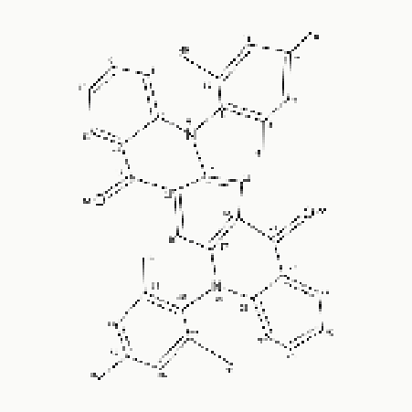 Cc1cc(C)c(-n2c3ccccc3c(=O)c3cc4c(cc32)c(=O)c2ccccc2n4-c2c(C)cc(C)cc2C)c(C)c1